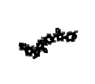 Cn1nc2c(=O)n(CC3(O)CCN(Cc4ccc(N5CCOCC5)cc4Cl)CC3)cnc2c1-c1ccc(CN)cc1